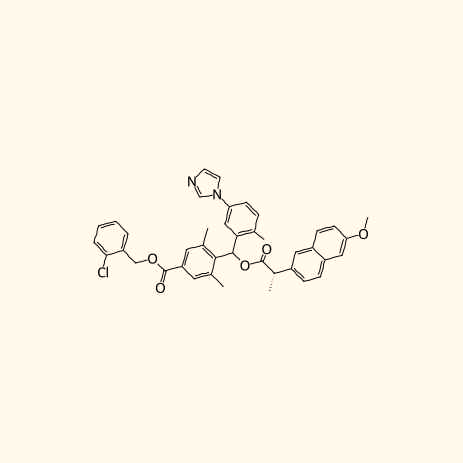 COc1ccc2cc([C@H](C)C(=O)OC(c3cc(-n4ccnc4)ccc3C)c3c(C)cc(C(=O)OCc4ccccc4Cl)cc3C)ccc2c1